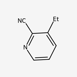 [CH2]Cc1cccnc1C#N